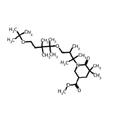 COC(=O)C1CN(C(C)(C)C(C)COC(C)(C)C(C)(C)CCOC(C)(C)C)C(=O)C(C)(C)C1